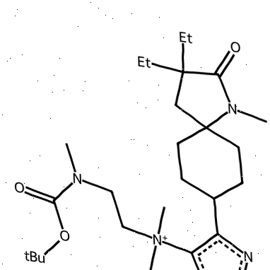 CCC1(CC)CC2(CCC(c3n[nH]cc3[N+](C)(C)CCN(C)C(=O)OC(C)(C)C)CC2)N(C)C1=O